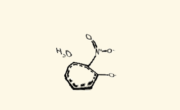 O.[O]c1ccccc1[N+](=O)[O-]